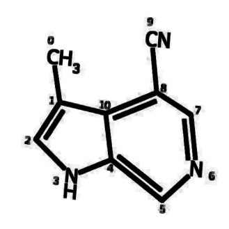 Cc1c[nH]c2cncc(C#N)c12